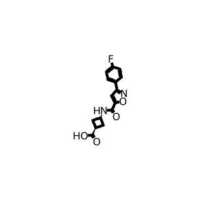 O=C(N[C@H]1C[C@H](C(=O)O)C1)c1cc(-c2ccc(F)cc2)no1